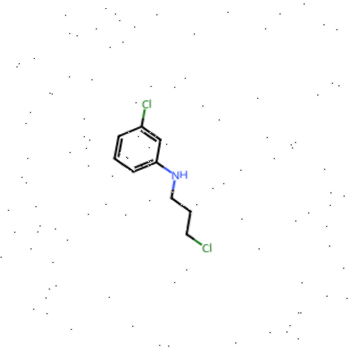 ClCCCNc1cccc(Cl)c1